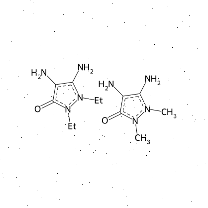 CCn1c(N)c(N)c(=O)n1CC.Cn1c(N)c(N)c(=O)n1C